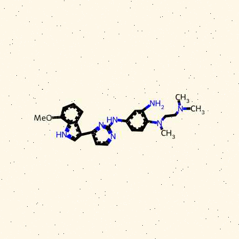 COc1cccc2c(-c3ccnc(Nc4ccc(N(C)CCN(C)C)c(N)c4)n3)c[nH]c12